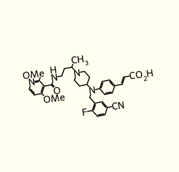 COc1ccnc(OC)c1C(=O)NCCC(C)N1CCC(N(Cc2cc(C#N)ccc2F)c2ccc(/C=C/C(=O)O)cc2)CC1